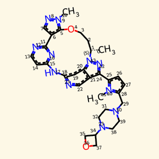 C[C@H]1CCOc2c(cnn2C)-c2nccc(n2)Nc2cc3c(cn2)c(-c2ccc(CN4CCN(C5COC5)CC4)n2C)nn31